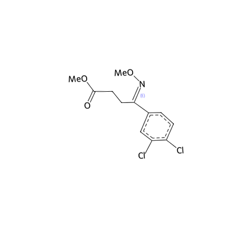 CO/N=C(\CCC(=O)OC)c1ccc(Cl)c(Cl)c1